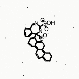 O=[N+]([O-])C1(c2cccc3c2=CCc2c4c(ccc2=3)=CCCC4)N=C(S(=O)(=O)O)N=Cc2ccccc21